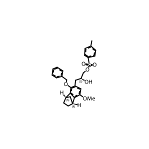 COc1cc(C[C@H](O)COS(=O)(=O)c2ccc(C)cc2)c(OCc2ccccc2)c2c1[C@@H]1CC[C@H]2C1